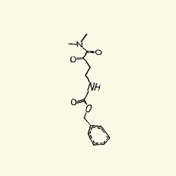 CN(C)C(=O)C(=O)CCNC(=O)OCc1ccccc1